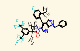 Cc1cc(F)ccc1-c1c(N(C)C(=O)C(C)(C)c2cc(C(F)(F)F)cc(C(F)(F)F)c2)cnc2c1cnn2Cc1ccccc1